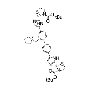 CC(C)(C)OC(=O)N1CCS[C@H]1c1ncc(-c2ccc(-c3ccc(-c4cnc([C@@H]5SCCN5C(=O)OC(C)(C)C)[nH]4)c4c3CC3(CCCC3)C4)cc2)[nH]1